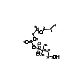 C=CCOC(C)COC(=O)OC(C)(CC)C(C)(C)CCO